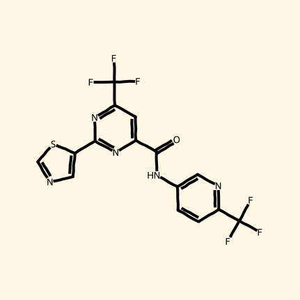 O=C(Nc1ccc(C(F)(F)F)nc1)c1cc(C(F)(F)F)nc(-c2cncs2)n1